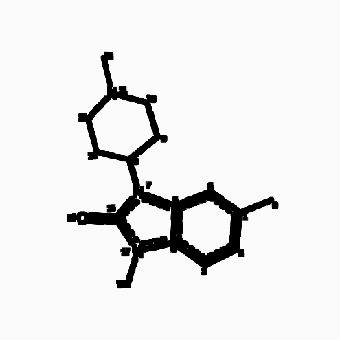 Cc1ccc2c(c1)n(C1CCN(C)CC1)c(=O)n2C